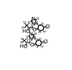 CC(C)(C)C(O)C(Oc1ccc(Cl)cc1)n1cncn1.CC(C)(C)C(O)C(Oc1ccc(Cl)cc1)n1cncn1